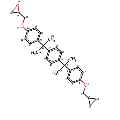 CC(C)(c1ccc(OCC2CC2)cc1)c1ccc(C(C)(C)c2ccc(OCC3CO3)cc2)cc1